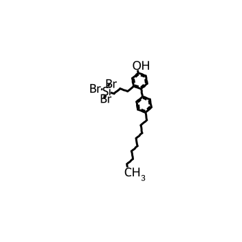 CCCCCCCCCc1ccc(-c2ccc(O)cc2CCC[Si](Br)(Br)Br)cc1